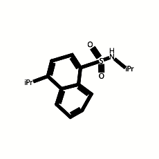 CC(C)NS(=O)(=O)c1ccc(C(C)C)c2ccccc12